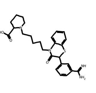 N=C(N)c1cccc(C2Sc3ccccc3N(CCCCCN3CCCCC3C(=O)O)C2=O)c1